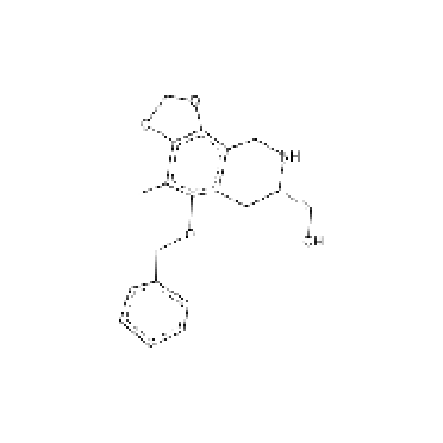 Cc1c(OCc2ccccc2)c2c(c3c1OCO3)CN[C@H](CO)C2